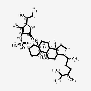 CC(C)[C@H](C)CC[C@@H](C)[C@H]1CC[C@@H]2C1CC[C@H]1[C@H]2CC[C@H]2C[C@@H](OP(=O)(O)OC3=C(O)[C@@H]([C@@H](O)CO)OC3=O)CC[C@@]21C